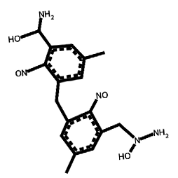 Cc1cc(Cc2cc(C)cc(C(N)O)c2N=O)c(N=O)c(CN(N)O)c1